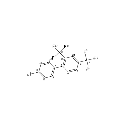 FC(F)(F)c1ccc(-c2ccc(I)cc2)c(C(F)(F)F)c1